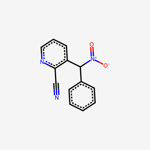 N#Cc1ncccc1C(c1ccccc1)[N+](=O)[O-]